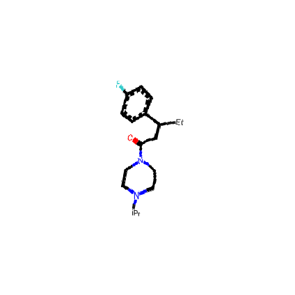 CCC(CC(=O)N1CCN(C(C)C)CC1)c1ccc(F)cc1